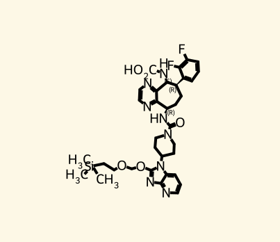 C[Si](C)(C)CCOCOc1nc2ncccc2n1C1CCN(C(=O)N[C@@H]2CC[C@H](c3cccc(F)c3F)[C@H](NC(=O)O)c3nccnc32)CC1